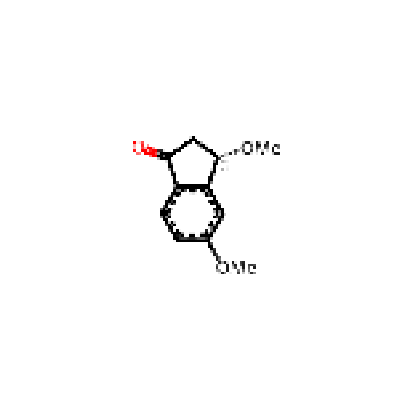 COc1ccc2c(c1)[C@@H](OC)CC2=O